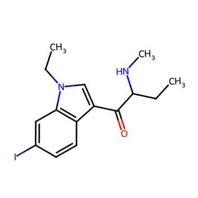 CCC(NC)C(=O)c1cn(CC)c2cc(I)ccc12